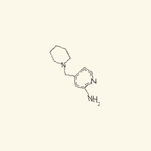 Nc1cc(CN2CCCCC2)ccn1